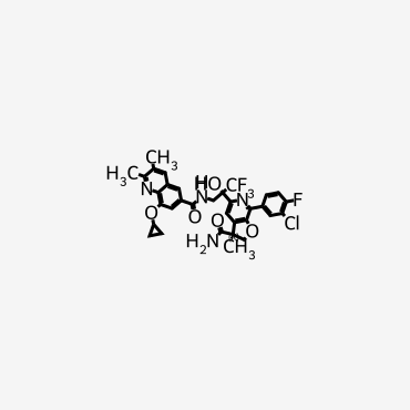 Cc1cc2cc(C(=O)NCC(O)(c3cc4c(c(-c5ccc(F)c(Cl)c5)n3)OC[C@]4(C)C(N)=O)C(F)(F)F)cc(OC3CC3)c2nc1C